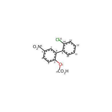 O=C(O)Oc1ccc([N+](=O)[O-])cc1-c1ccccc1Cl